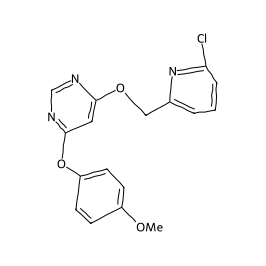 COc1ccc(Oc2cc(OCc3cccc(Cl)n3)ncn2)cc1